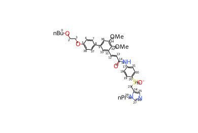 CCCCOCCOc1ccc(-c2cc(/C=C/C(=O)Nc3ccc([S@@+]([O-])Cc4cncn4CCC)cc3)c(OC)c(OC)c2)cc1